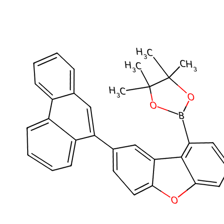 CC1(C)OB(c2cccc3oc4ccc(-c5cc6ccccc6c6ccccc56)cc4c23)OC1(C)C